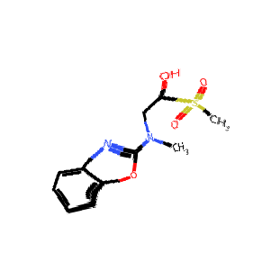 CN(CC(O)S(C)(=O)=O)c1nc2ccccc2o1